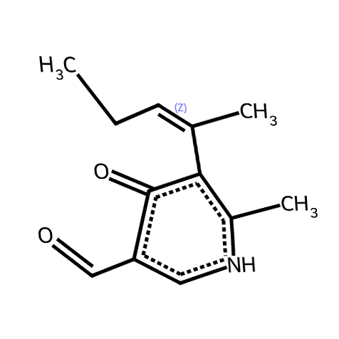 CC/C=C(/C)c1c(C)[nH]cc(C=O)c1=O